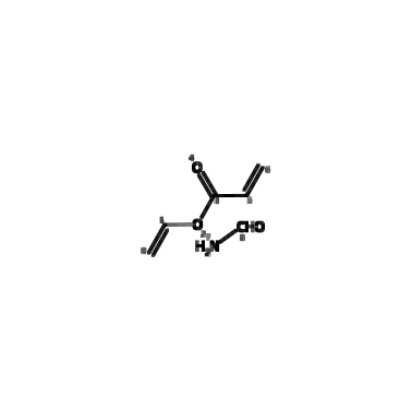 C=COC(=O)C=C.NC=O